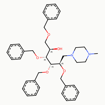 CN1CCN(C[C@@H](OCc2ccccc2)[C@H](OCc2ccccc2)[C@H](OCc2ccccc2)[C@H](O)COCc2ccccc2)CC1